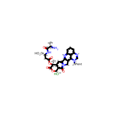 CCCCCN1C=Nc2cccc3nc4c(c1c23)Cn1c-4cc2c(c1=O)COC(=O)[C@@]2(CC)OC(=O)C[C@@H](NC(=O)[C@@H](N)C(C)C)C(=O)O.Cl